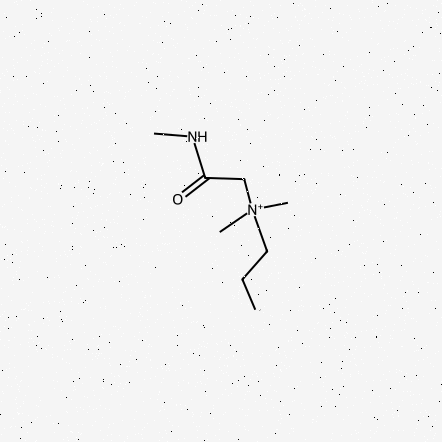 [CH2]CC[N+](C)(C)CC(=O)NC